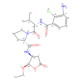 CCO[C@@H]1OC(=O)C[C@@H]1NC(=O)[C@@H]1CCCN1C(=O)[C@@H](NC(=O)c1cccc(N)c1Cl)C(C)C